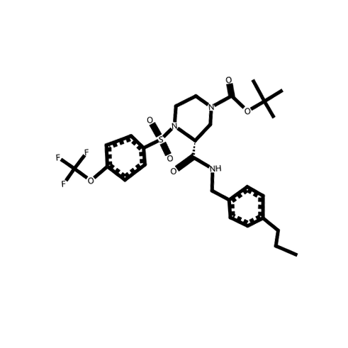 CCCc1ccc(CNC(=O)[C@H]2CN(C(=O)OC(C)(C)C)CCN2S(=O)(=O)c2ccc(OC(F)(F)F)cc2)cc1